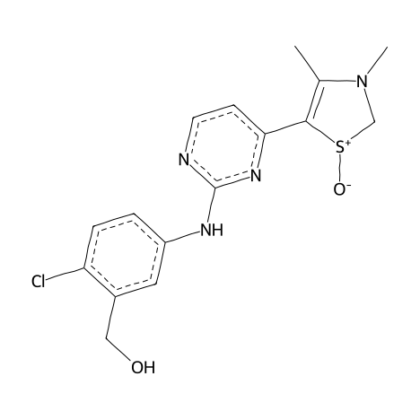 CC1=C(c2ccnc(Nc3ccc(Cl)c(CO)c3)n2)[S+]([O-])CN1C